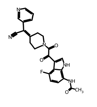 CC(=O)Nc1ccc(F)c2c(C(=O)C(=O)N3CCC(=C(C#N)c4cccnc4)CC3)c[nH]c12